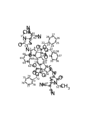 CCN1C(=O)/C(=N/c2cc3c(s2)-c2cc4c(cc2C3(C(=O)OCc2ccccc2)C(=O)OCc2ccccc2)-c2sc(/N=C3\SC(=C(C#N)C#N)N(CC)C3=O)cc2C4(C(=O)OCc2ccccc2)C(=O)OCc2ccccc2)SC1=C(C#N)C#N